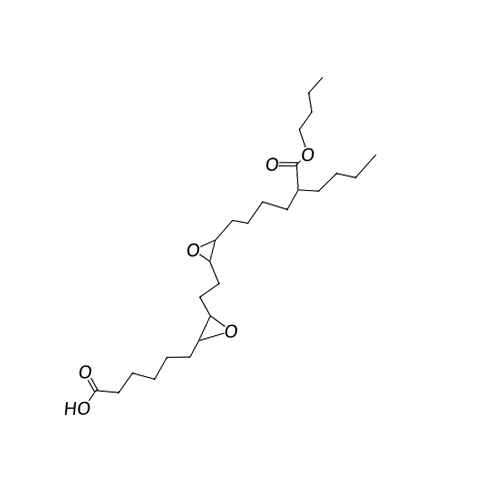 CCCCOC(=O)C(CCCC)CCCCC1OC1CCC1OC1CCCCCC(=O)O